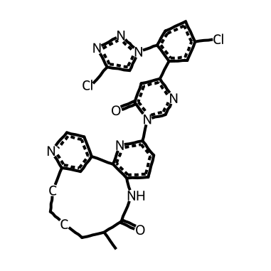 CC1CCCCc2cc(ccn2)-c2nc(-n3cnc(-c4cc(Cl)ccc4-n4cc(Cl)nn4)cc3=O)ccc2NC1=O